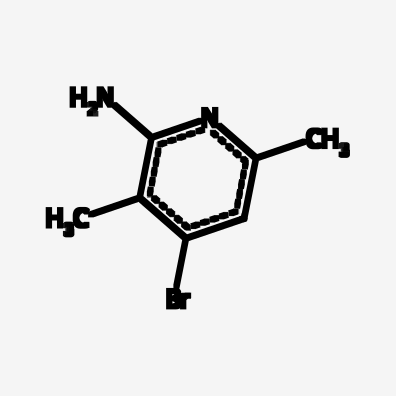 Cc1cc(Br)c(C)c(N)n1